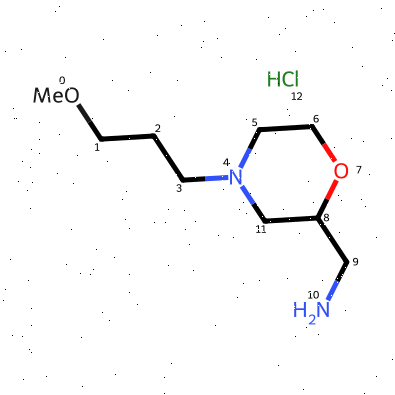 COCCCN1CCOC(CN)C1.Cl